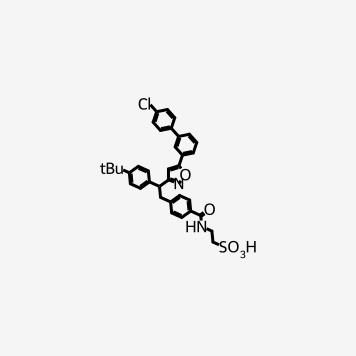 CC(C)(C)c1ccc(C(Cc2ccc(C(=O)NCCS(=O)(=O)O)cc2)c2cc(-c3cccc(-c4ccc(Cl)cc4)c3)on2)cc1